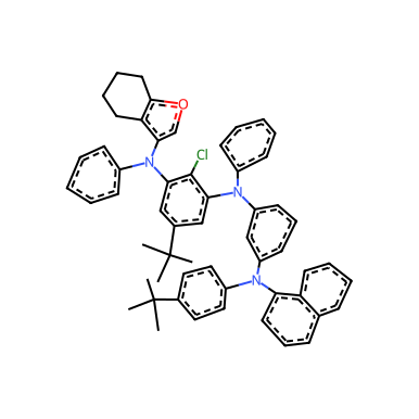 CC(C)(C)c1ccc(N(c2cccc(N(c3ccccc3)c3cc(C(C)(C)C)cc(N(c4ccccc4)c4coc5c4CCCC5)c3Cl)c2)c2cccc3ccccc23)cc1